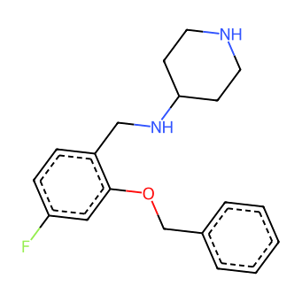 Fc1ccc(CNC2CCNCC2)c(OCc2ccccc2)c1